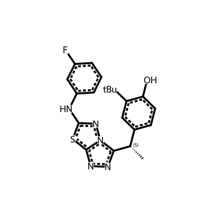 C[C@@H](c1ccc(O)c(C(C)(C)C)c1)c1nnc2sc(Nc3cccc(F)c3)nn12